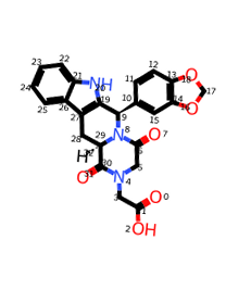 O=C(O)CN1CC(=O)N2[C@H](c3ccc4c(c3)OCO4)c3[nH]c4ccccc4c3C[C@@H]2C1=O